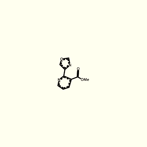 COC(=O)c1cccnc1-c1cocn1